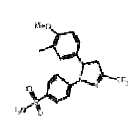 COc1ccc(C2CC(C(F)(F)F)=NN2c2ccc(S(N)(=O)=O)cc2)cc1C